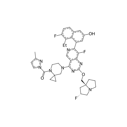 CCc1c(F)ccc2cc(O)cc(-c3ncc4c(N5CCN(C(=O)n6ccc(C)n6)C6(CC6)C5)nc(OC[C@@]56CCCN5C[C@H](F)C6)nc4c3F)c12